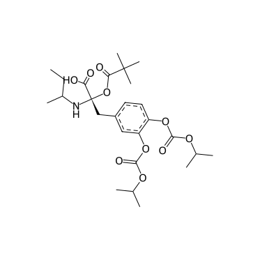 CCC(C)N[C@@](Cc1ccc(OC(=O)OC(C)C)c(OC(=O)OC(C)C)c1)(OC(=O)C(C)(C)C)C(=O)O